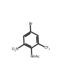 CC(=O)Nc1c([N+](=O)[O-])cc(Br)cc1C(F)(F)F